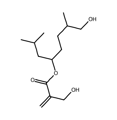 C=C(CO)C(=O)OC(CCC(C)CO)CC(C)C